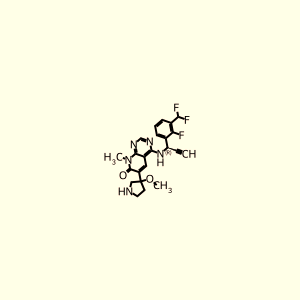 C#C[C@@H](Nc1ncnc2c1cc(C1(OC)CCNC1)c(=O)n2C)c1cccc(C(F)F)c1F